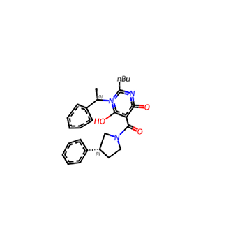 CCCCc1nc(=O)c(C(=O)N2CC[C@H](c3ccccc3)C2)c(O)n1[C@H](C)c1ccccc1